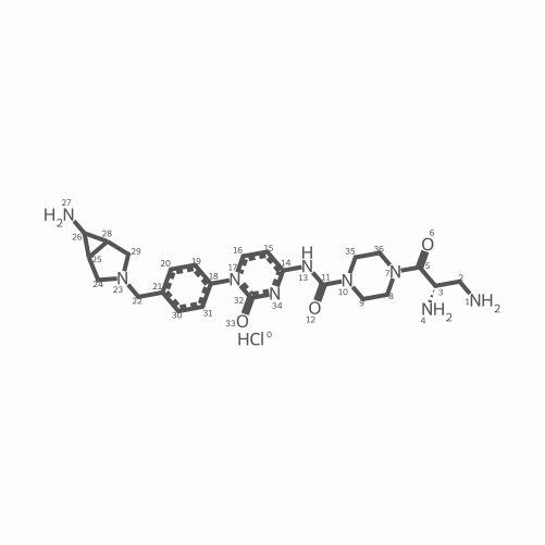 Cl.NC[C@H](N)C(=O)N1CCN(C(=O)Nc2ccn(-c3ccc(CN4CC5C(N)C5C4)cc3)c(=O)n2)CC1